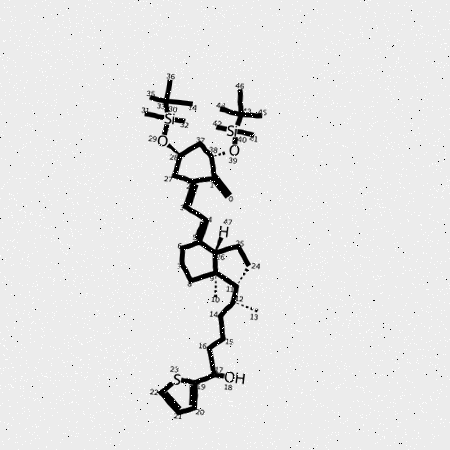 C=C1/C(=C\C=C2/CCC[C@]3(C)[C@@H]([C@H](C)CCCC(O)c4cccs4)CC[C@@H]23)C[C@@H](O[Si](C)(C)C(C)(C)C)C[C@@H]1O[Si](C)(C)C(C)(C)C